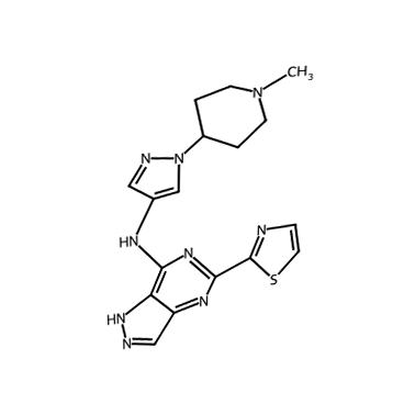 CN1CCC(n2cc(Nc3nc(-c4nccs4)nc4cn[nH]c34)cn2)CC1